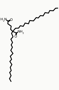 CCCCCCCCCCCCCCCCCCC(CCCCCCCCCCCCCCCCCC)(CCCC(N)=O)C(N)=O